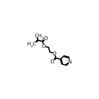 C=C(C)C(=O)OCCOC(=O)c1ccncc1